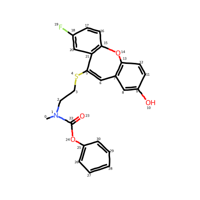 CN(CCSC1=Cc2cc(O)ccc2Oc2ccc(F)cc21)C(=O)Oc1ccccc1